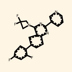 Fc1ccc(-c2ccc3nc(-c4cccnc4)nc(N4CC(F)(F)C4)c3c2)c(F)c1